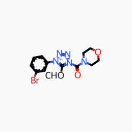 O=Cc1n(C(=O)N2CCOCC2)nn[n+]1-c1cccc(Br)c1